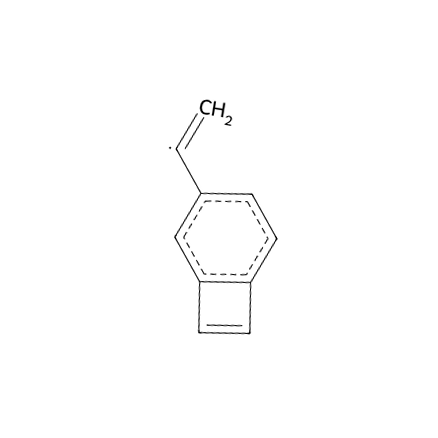 C=[C]c1ccc2c(c1)C=C2